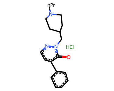 CCCN1CCC(Cn2nccc(-c3ccccc3)c2=O)CC1.Cl